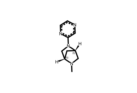 CN1C[C@@H]2C[C@H]1CN2c1cnccn1